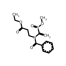 C=C(N(CCC(=O)OCC)C(=O)c1ccccc1)S(=O)OC